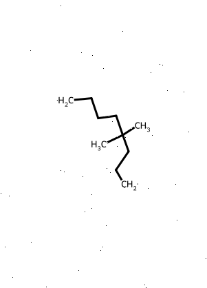 [CH2]CCCC(C)(C)CC[CH2]